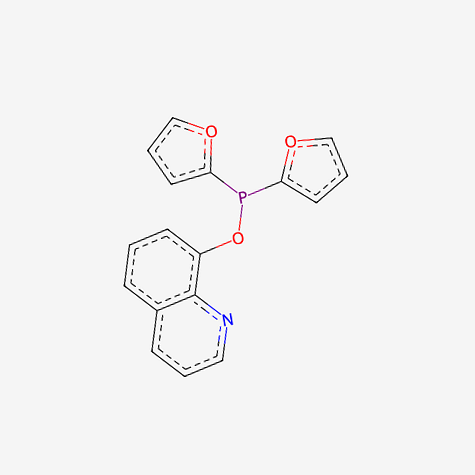 c1coc(P(Oc2cccc3cccnc23)c2ccco2)c1